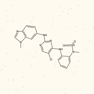 CN(c1ccccc1Nc1nc(Nc2ccc3ncn(C)c3c2)ncc1Cl)[SH](=O)=O